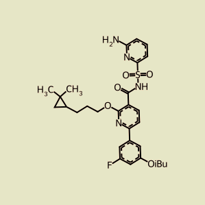 CC(C)COc1cc(F)cc(-c2ccc(C(=O)NS(=O)(=O)c3cccc(N)n3)c(OCCCC3CC3(C)C)n2)c1